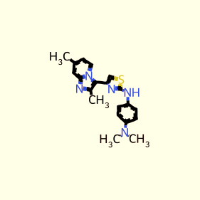 Cc1ccn2c(-c3csc(Nc4ccc(N(C)C)cc4)n3)c(C)nc2c1